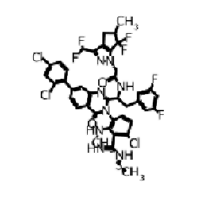 CNc1c(-n2c(C(Cc3cc(F)cc(F)c3)NC(=O)Cn3nc(C(F)F)c4c3C(F)(F)C(C)C4)nc3cc(-c4ccc(Cl)cc4Cl)ccc3c2=O)ccc(Cl)c1C(=N)NSC